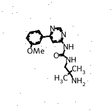 COc1cccc(-c2cc(NC(=O)NCC(C)(C)N)ncn2)c1